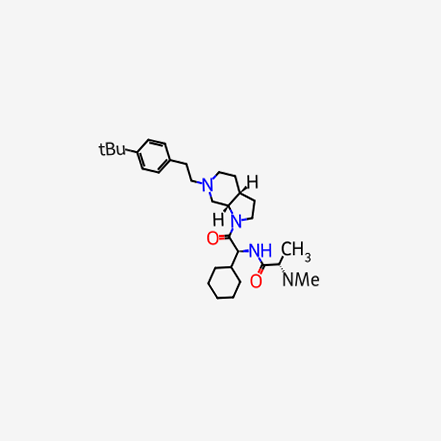 CN[C@@H](C)C(=O)N[C@H](C(=O)N1CC[C@H]2CCN(CCc3ccc(C(C)(C)C)cc3)C[C@H]21)C1CCCCC1